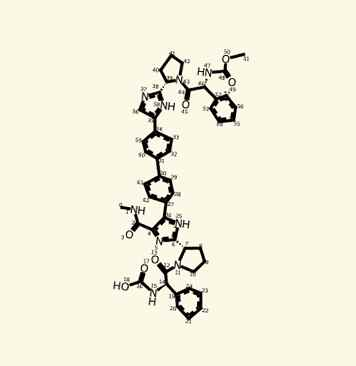 CNC(=O)c1nc([C@@H]2CCCN2C(=O)[C@H](NC(=O)O)c2ccccc2)[nH]c1-c1ccc(-c2ccc(-c3cnc([C@@H]4CCCN4C(=O)[C@H](NC(=O)OC)c4ccccc4)[nH]3)cc2)cc1